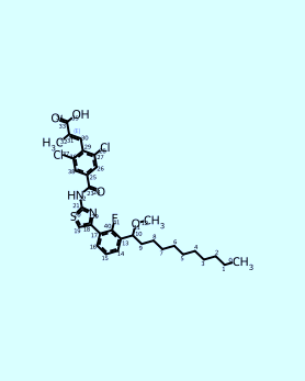 CCCCCCCCCCC(OC)c1cccc(-c2csc(NC(=O)c3cc(Cl)c(/C=C(\C)C(=O)O)c(Cl)c3)n2)c1F